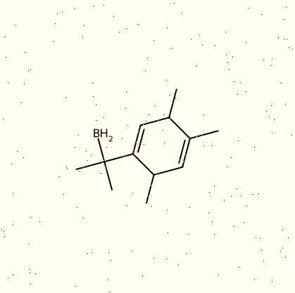 BC(C)(C)C1=CC(C)C(C)=CC1C